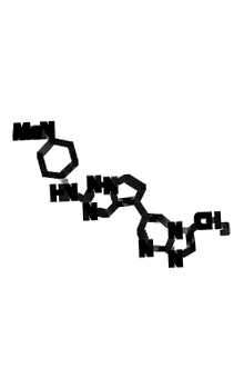 CN[C@H]1CC[C@H](Nc2ncc3c(-c4cnc5ncc(C)n5c4)ccn3n2)CC1